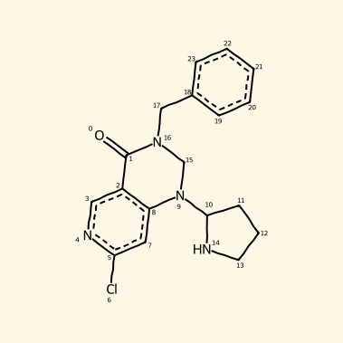 O=C1c2cnc(Cl)cc2N(C2CCCN2)CN1Cc1ccccc1